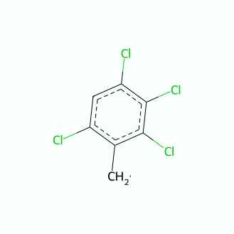 [CH2]c1c(Cl)cc(Cl)c(Cl)c1Cl